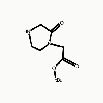 CC(C)(C)OC(=O)CN1CCNCC1=O